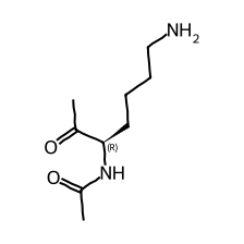 CC(=O)N[C@H](CCCCN)C(C)=O